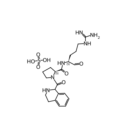 N=C(N)NCCC[C@@H](C=O)NC(=O)[C@@H]1CCCN1C(=O)C1NCCc2ccccc21.O=S(=O)(O)O